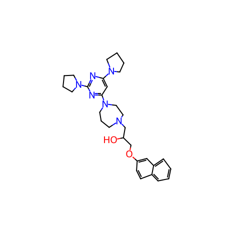 OC(COc1ccc2ccccc2c1)CN1CCCN(c2cc(N3CCCC3)nc(N3CCCC3)n2)CC1